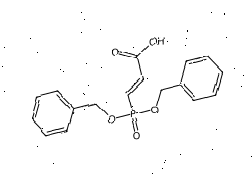 O=C(O)C=CP(=O)(OCc1ccccc1)OCc1ccccc1